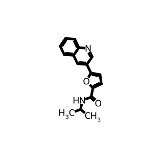 CC(C)NC(=O)c1ccc(-c2cnc3ccccc3c2)o1